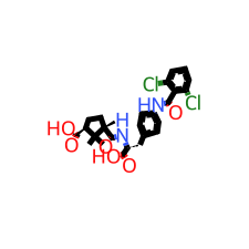 CC1(C)[C@@H](C(=O)O)CC[C@]1(C)C(=O)N[C@H](Cc1ccc(NC(=O)c2c(Cl)cccc2Cl)cc1)C(=O)O